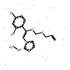 C=CCSCOC(=Cn1ccnc1)c1ccc(Cl)cc1Cl.O=[N+]([O-])O